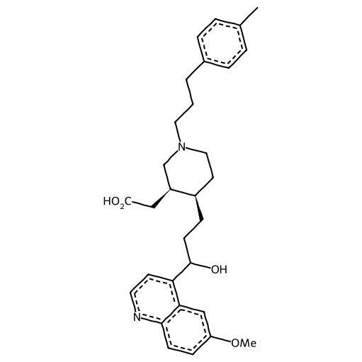 COc1ccc2nccc(C(O)CC[C@@H]3CCN(CCCc4ccc(C)cc4)C[C@@H]3CC(=O)O)c2c1